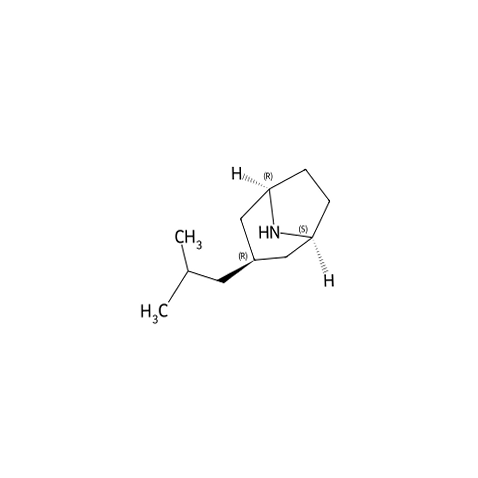 CC(C)C[C@H]1C[C@H]2CC[C@@H](C1)N2